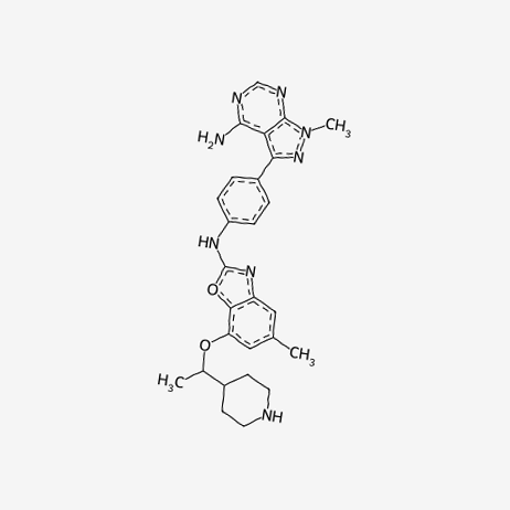 Cc1cc(OC(C)C2CCNCC2)c2oc(Nc3ccc(-c4nn(C)c5ncnc(N)c45)cc3)nc2c1